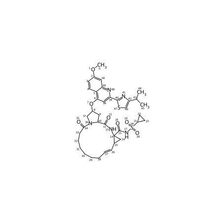 COc1ccc2c(OC3CC4C(=O)NC5(C(=O)NS(=O)(=O)C6CC6)CC5/C=C/CCCCCCC(=O)N4C3)cc(-c3nc(C(C)C)cs3)nc2c1